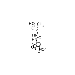 C=C(CCCNC(=O)Nc1ccc([N+](=O)[O-])c2nonc12)C(=O)O